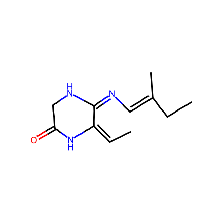 C/C=C1/NC(=O)CN/C1=N/C=C(\C)CC